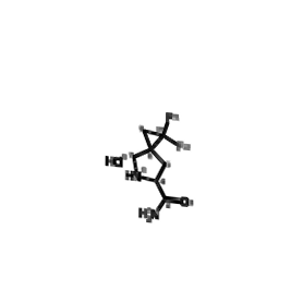 Cl.NC(=O)C1CC2(CN1)CC2(F)F